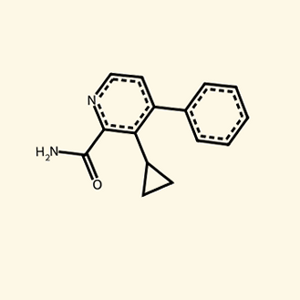 NC(=O)c1nccc(-c2ccccc2)c1C1CC1